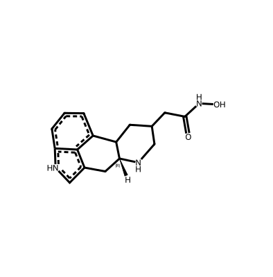 O=C(CC1CN[C@@H]2Cc3c[nH]c4cccc(c34)C2C1)NO